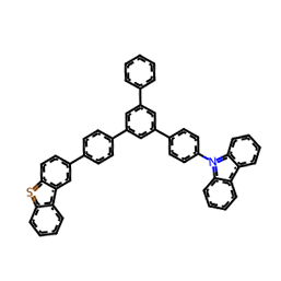 c1ccc(-c2cc(-c3ccc(-c4ccc5sc6ccccc6c5c4)cc3)cc(-c3ccc(-n4c5ccccc5c5ccccc54)cc3)c2)cc1